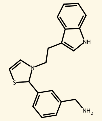 NCc1cccc(C2SC=CN2CCc2c[nH]c3ccccc23)c1